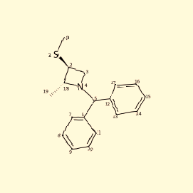 CS[C@H]1CN(C(c2ccccc2)c2ccccc2)[C@@H]1C